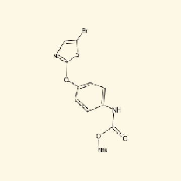 CC(C)(C)OC(=O)Nc1ccc(Oc2ncc(Br)s2)cc1